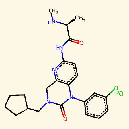 CN[C@@H](C)C(=O)Nc1ccc2c(n1)CN(CC1CCCC1)C(=O)N2c1cccc(Cl)c1.Cl